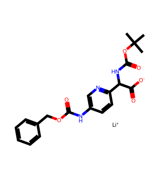 CC(C)(C)OC(=O)NC(C(=O)[O-])c1ccc(NC(=O)OCc2ccccc2)cn1.[Li+]